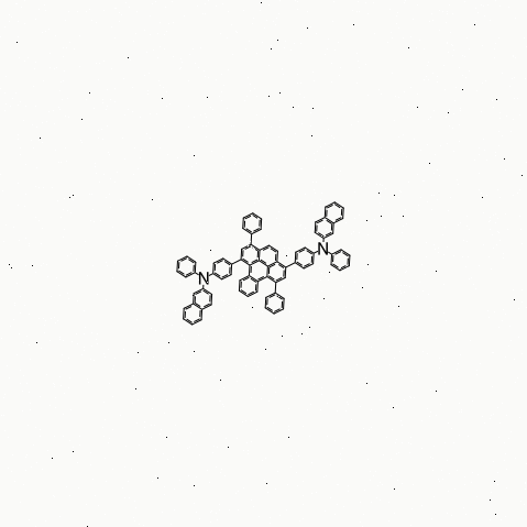 c1ccc(-c2cc(-c3ccc(N(c4ccccc4)c4ccc5ccccc5c4)cc3)c3c4ccccc4c4c(-c5ccccc5)cc(-c5ccc(N(c6ccccc6)c6ccc7ccccc7c6)cc5)c5ccc2c3c54)cc1